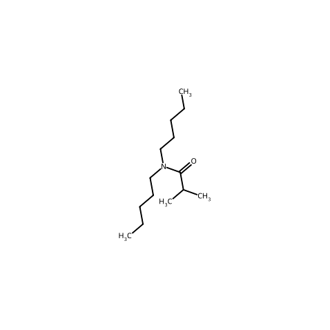 CCCCCN(CCCCC)C(=O)C(C)C